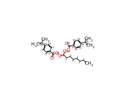 [CH2]CCCCCC[C](OOC(=O)c1ccc(C(C)C)cc1)OOC(=O)c1ccc(C(C)C)cc1